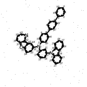 c1ccc(-c2ccc(-c3ccc(N(c4cccc(-n5c6ccccc6c6ccccc65)c4)c4ccc5oc6cccnc6c5c4)cc3)cc2)cc1